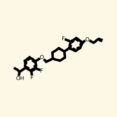 C=CCOc1ccc(C2CCC(COc3ccc(C(C)O)c(F)c3F)CC2)c(F)c1